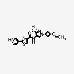 CCO[C@H]1C[C@@H](n2cc(NC(=O)c3csc(-c4cn[nH]c4)n3)c(C)n2)C1